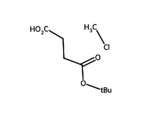 CC(C)(C)OC(=O)CCC(=O)O.CCl